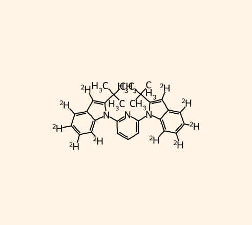 [2H]c1c([2H])c([2H])c2c(c1[2H])c([2H])c(C(C)(C)C)n2-c1cccc(-n2c(C(C)(C)C)c([2H])c3c([2H])c([2H])c([2H])c([2H])c32)n1